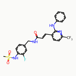 CS(=O)(=O)Nc1ccc(CNC(=O)C=Cc2ccc(C(F)(F)F)nc2Nc2ccccc2)cc1F